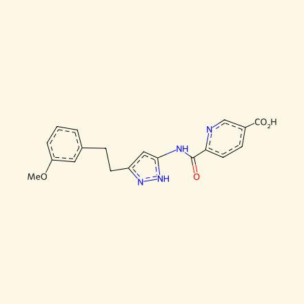 COc1cccc(CCc2cc(NC(=O)c3ccc(C(=O)O)cn3)[nH]n2)c1